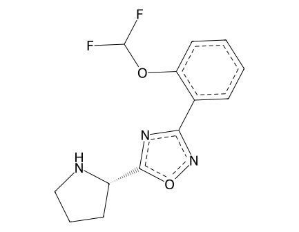 FC(F)Oc1ccccc1-c1noc([C@@H]2CCCN2)n1